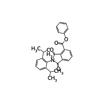 CC(C)c1cccc(C(C)C)c1N1C(=O)c2cccc(C(=O)Oc3ccccc3)c2C1=O